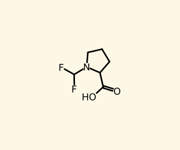 O=C(O)C1CCCN1C(F)F